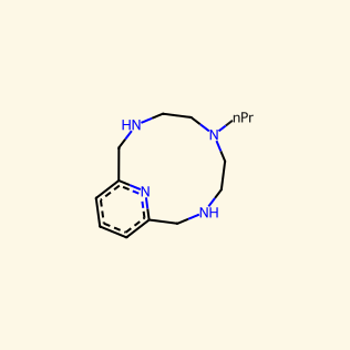 CCCN1CCNCc2cccc(n2)CNCC1